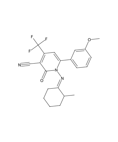 COc1cccc(-c2cc(C(F)(F)F)c(C#N)c(=O)n2N=C2CCCCC2C)c1